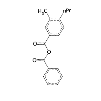 CCCc1ccc(C(=O)OC(=O)c2ccccc2)cc1C